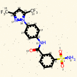 NS(=O)(=O)c1cccc(C(=O)Nc2ccc(-n3nc(C(F)(F)F)cc3C(F)(F)F)cc2)c1